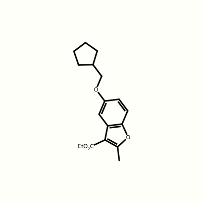 CCOC(=O)c1c(C)oc2ccc(OCC3CCCC3)cc12